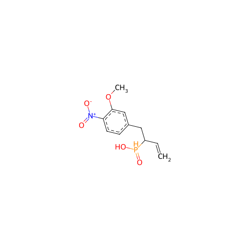 C=CC(Cc1ccc([N+](=O)[O-])c(OC)c1)[PH](=O)O